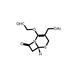 CC(=O)OCC1=C(OCC=O)N2C(=O)C[C@H]2SC1